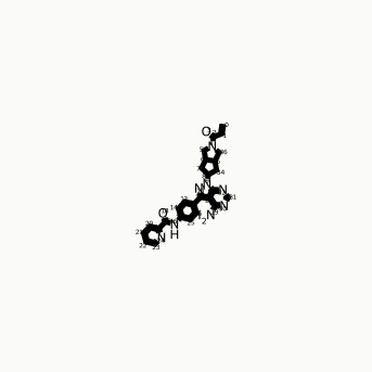 C=CC(=O)N1CC2CC(n3nc(-c4ccc(NC(=O)c5ccccn5)cc4)c4c(N)ncnc43)CC2C1